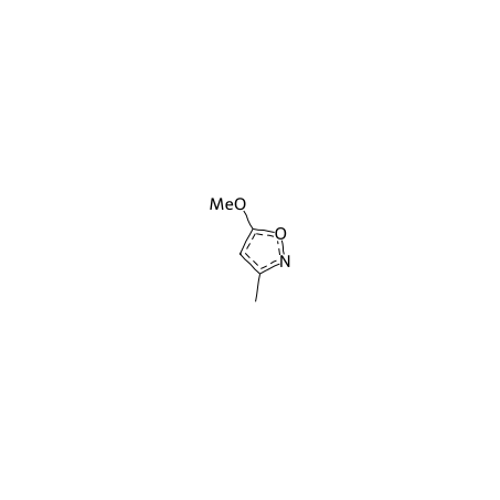 COc1cc(C)no1